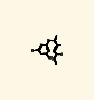 COC(=O)C=C(C)C(C)Sc1nc(N)cc(Cl)n1